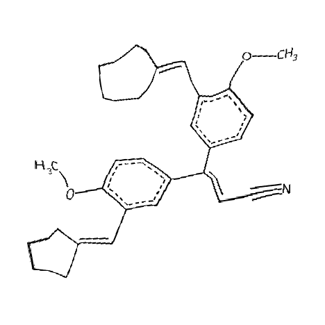 COc1ccc(C(=CC#N)c2ccc(OC)c(C=C3CCCC3)c2)cc1C=C1CCCC1